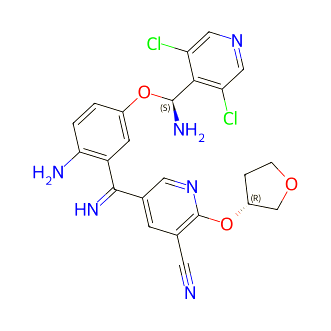 N#Cc1cc(C(=N)c2cc(O[C@H](N)c3c(Cl)cncc3Cl)ccc2N)cnc1O[C@@H]1CCOC1